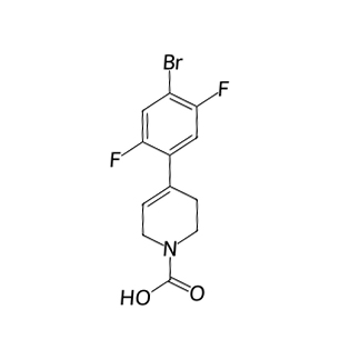 O=C(O)N1CC=C(c2cc(F)c(Br)cc2F)CC1